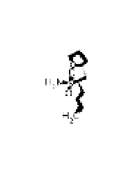 C=CCC[C@H](C[C@H]1CCCO1)S(N)(=O)=O